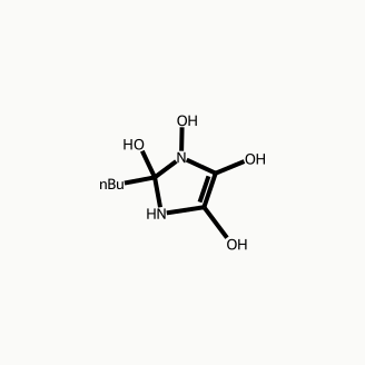 CCCCC1(O)NC(O)=C(O)N1O